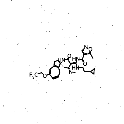 C/N=C1/C[C@]2(CCC3=C2CC#CC(OCC(F)(F)F)=C3)NC(=O)/C1=C(/NCCC1CC1)NC(=O)c1cnoc1C